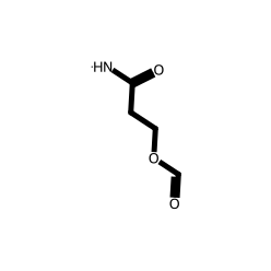 [NH]C(=O)CCOC=O